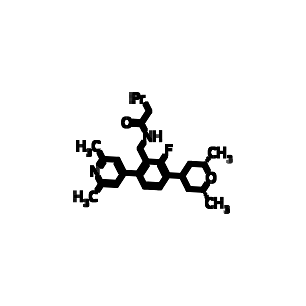 Cc1cc(-c2ccc(C3C[C@@H](C)O[C@@H](C)C3)c(F)c2CNC(=O)CC(C)C)cc(C)n1